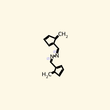 C=C1C=CC=C1/C=N\N=C/C1=CC=CC1=C